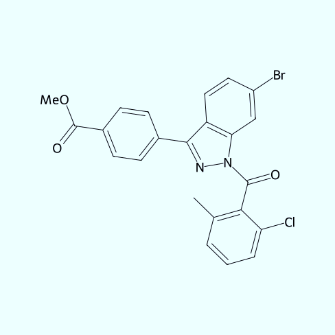 COC(=O)c1ccc(-c2nn(C(=O)c3c(C)cccc3Cl)c3cc(Br)ccc23)cc1